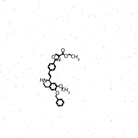 CCOC(=O)c1coc(-c2ccc(/C=C/C3NCCc4cc(OCc5ccccc5)c(OC)cc43)cc2)n1